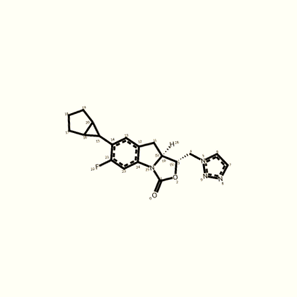 O=C1O[C@@H](Cn2ccnn2)[C@@H]2Cc3cc(C4C5CCCC54)c(F)cc3N12